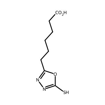 O=C(O)CCCCCc1nnc(S)o1